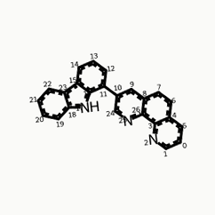 c1cnc2c(c1)ccc1cc(-c3cccc4c3[nH]c3ccccc34)cnc12